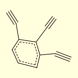 C#Cc1cccc(C#C)c1C#C